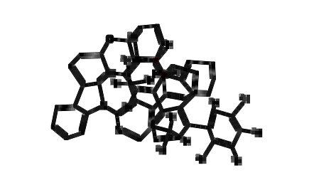 [2H]c1c([2H])c([2H])c(-c2cccc(-c3c([2H])c([2H])c([2H])c([2H])c3[2H])c2-c2ccccc2Nc2cccc(Oc3ccc4c5ccccc5n(-c5ncc(C([2H])([2H])[2H])c(-c6ccccc6)c5C([2H])([2H])[2H])c4c3)c2)c([2H])c1[2H]